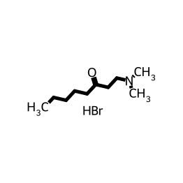 Br.CCCCCC(=O)CCN(C)C